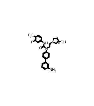 Nc1cccc(-c2ccc(N(CCN3CC[C@@H](O)C3)C(=O)Nc3ccc(C(F)(F)F)c(F)c3)cc2)c1